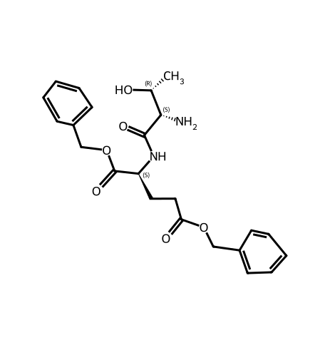 C[C@@H](O)[C@H](N)C(=O)N[C@@H](CCC(=O)OCc1ccccc1)C(=O)OCc1ccccc1